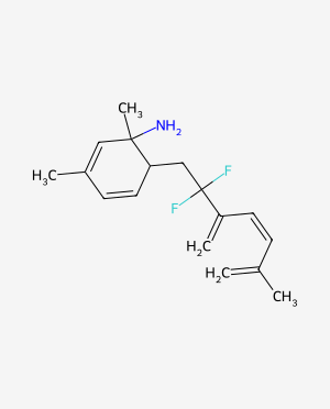 C=C(C)/C=C\C(=C)C(F)(F)CC1C=CC(C)=CC1(C)N